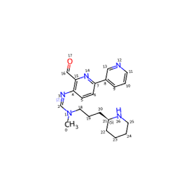 CN(/C=N\c1ccc(-c2cccnc2)nc1C=O)CCC[C@@H]1CCCCN1